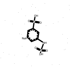 O=S(=O)(O)Nc1cccc(S(=O)(=O)O)c1.[NaH]